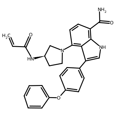 C=CC(=O)N[C@@H]1CCN(c2ccc(C(N)=O)c3[nH]cc(-c4ccc(Oc5ccccc5)cc4)c23)C1